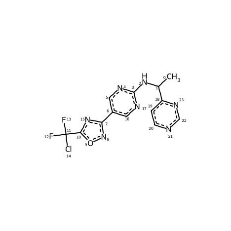 CC(Nc1ncc(-c2noc(C(F)(F)Cl)n2)cn1)c1ccncn1